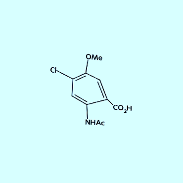 COc1cc(C(=O)O)c(NC(C)=O)cc1Cl